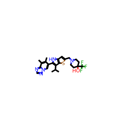 Cc1c(-c2[nH]c3cc(CN4CCC(O)(C(F)(F)F)CC4)sc3c2C(C)C)cn2ncnc2c1C